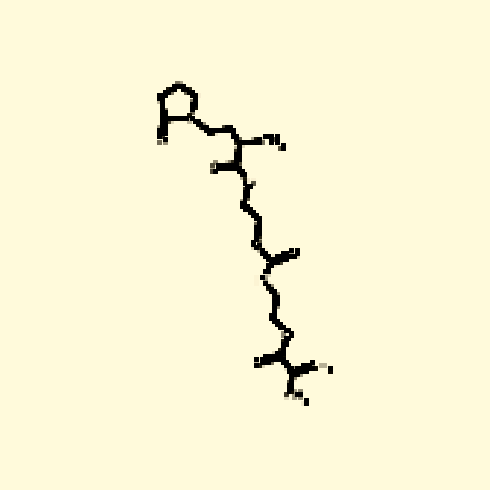 C=C(C)C(=O)OCCNC(=O)OCCOC(=O)C(C)CCN1CCCC1=O